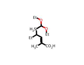 CCOC(OCC)[SiH2]C(C=C(C)C(=O)O)CC